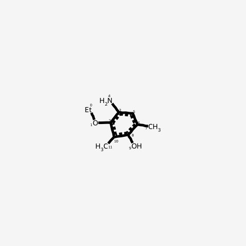 CCOc1c(N)cc(C)c(O)c1C